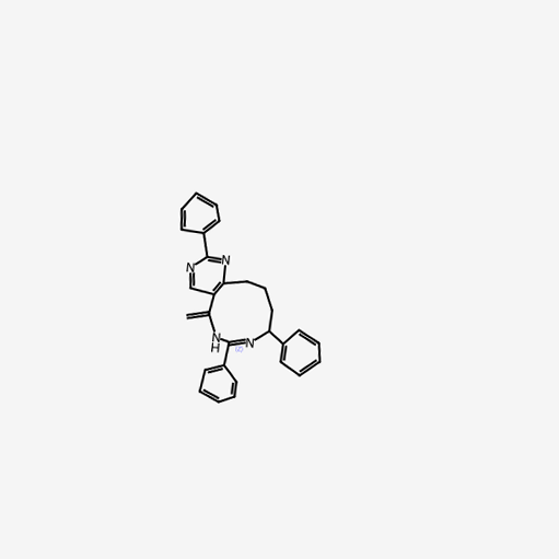 C=C1N/C(c2ccccc2)=N\C(c2ccccc2)CCCc2nc(-c3ccccc3)ncc21